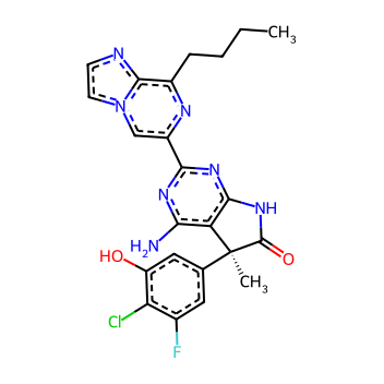 CCCCc1nc(-c2nc(N)c3c(n2)NC(=O)[C@@]3(C)c2cc(O)c(Cl)c(F)c2)cn2ccnc12